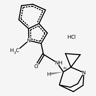 Cl.Cn1c(C(=O)N[C@@H]2C3CCN(CC3)C23CC3)cc2ccccc21